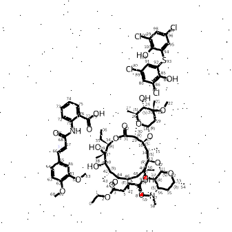 CCOC(=O)CCC(=O)O[C@H]1[C@H](O[C@@H]2[C@@H](C)[C@H](O[C@H]3C[C@@](C)(OC)[C@@H](O)[C@H](C)O3)[C@@H](C)C(=O)O[C@H](CC)[C@@](C)(O)[C@H](O)[C@@H](C)C(=O)[C@H](C)C[C@@]2(C)O)O[C@H](C)C[C@@H]1N(C)C.COc1ccc(/C=C/C(=O)Nc2ccccc2C(=O)O)cc1OC.Oc1c(Cl)cc(Cl)cc1Sc1cc(Cl)cc(Cl)c1O